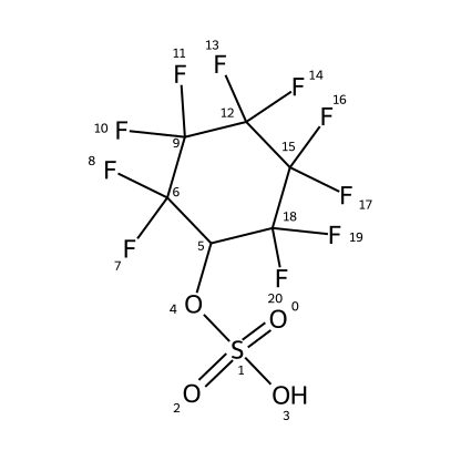 O=S(=O)(O)OC1C(F)(F)C(F)(F)C(F)(F)C(F)(F)C1(F)F